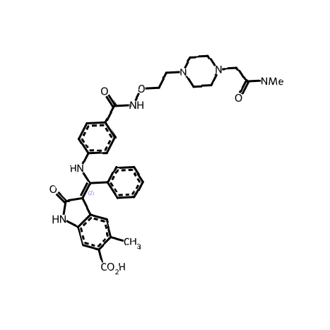 CNC(=O)CN1CCN(CCONC(=O)c2ccc(N/C(=C3\C(=O)Nc4cc(C(=O)O)c(C)cc43)c3ccccc3)cc2)CC1